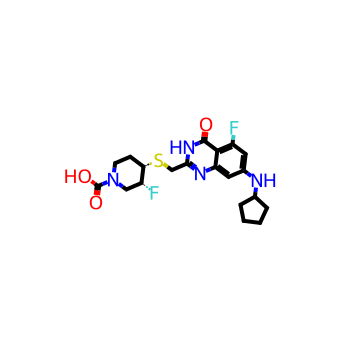 O=C(O)N1CC[C@H](SCc2nc3cc(NC4CCCC4)cc(F)c3c(=O)[nH]2)[C@H](F)C1